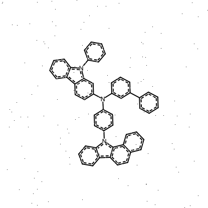 c1ccc(-c2cccc(N(c3ccc(-n4c5ccccc5c5ccc6ccccc6c54)cc3)c3ccc4c5ccccc5n(-c5ccccc5)c4c3)c2)cc1